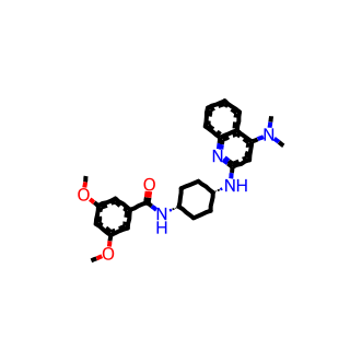 COc1cc(OC)cc(C(=O)N[C@H]2CC[C@@H](Nc3cc(N(C)C)c4ccccc4n3)CC2)c1